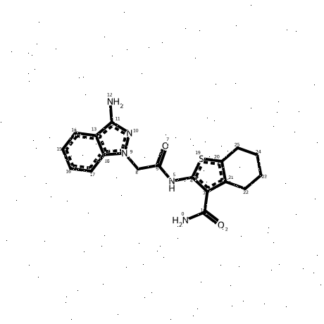 NC(=O)c1c(NC(=O)Cn2nc(N)c3ccccc32)sc2c1CCCC2